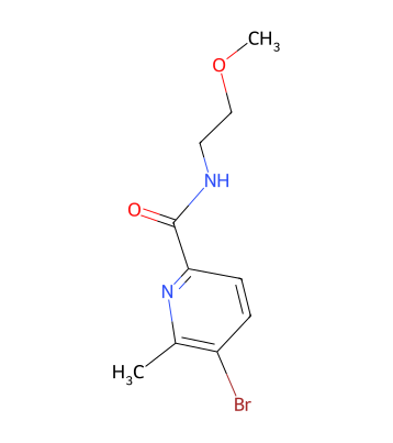 COCCNC(=O)c1ccc(Br)c(C)n1